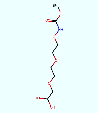 CC(C)(C)OC(=O)NOCCOCCOCC(O)O